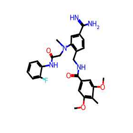 COc1cc(C(=O)NCc2ccc(C(=N)N)cc2N(C)CC(=O)Nc2ccccc2F)cc(OC)c1C